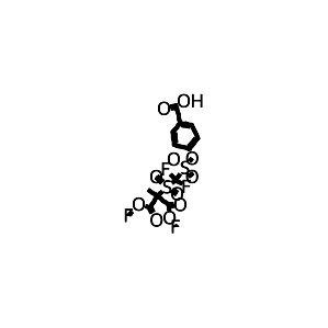 CC(C(=O)OF)(C(=O)OF)S(=O)(=O)C(F)(F)S(=O)(=O)Oc1ccc(C(=O)O)cc1